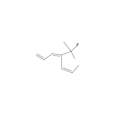 C=C/C=C(\C=C/C)C(C)(C)F